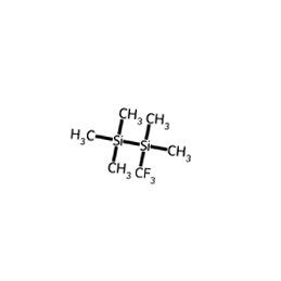 C[Si](C)(C)[Si](C)(C)C(F)(F)F